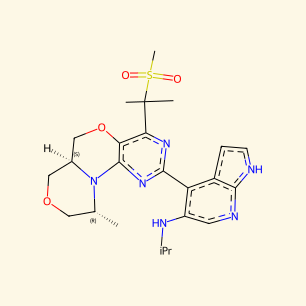 CC(C)Nc1cnc2[nH]ccc2c1-c1nc2c(c(C(C)(C)S(C)(=O)=O)n1)OC[C@@H]1COC[C@@H](C)N21